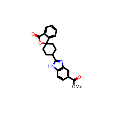 COC(=O)c1ccc2[nH]c(C3CCC4(CC3)OC(=O)c3ccccc34)nc2c1